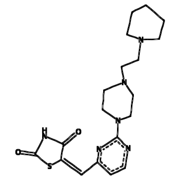 O=C1NC(=O)/C(=C\c2ccnc(N3CCN(CCN4CCCCC4)CC3)n2)S1